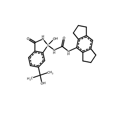 CC(C)(O)c1ccc2c(c1)S(O)(NC(=O)Nc1c3c(cc4c1CCC4)CCC3)NC2=O